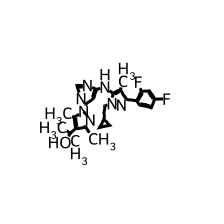 Cc1nn(-c2cc(Nc3c(C)c(-c4ccc(F)cc4F)nn3CC3CC3)ncn2)c(C)c1C(C)(C)O